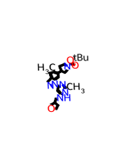 Cc1nc(NCC2CCOC2)cc(-n2ncc3cc(C)c(C4CCN(C(=O)OC(C)(C)C)CC4)cc32)n1